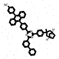 CC1(c2ccc(-c3nc(-c4ccc(-c5c6ccccc6c(-c6ccc(C#N)cc6)c6ccccc56)cc4)nc(-c4cccc(-c5ccccc5)c4)n3)cc2)C[C@@H]2CC[C@@H](C2)C1